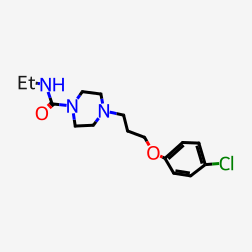 CCNC(=O)N1CCN(CCCOc2ccc(Cl)cc2)CC1